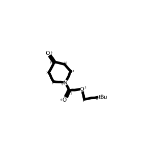 CC(C)(C)COC(=O)N1CCC(=O)CC1